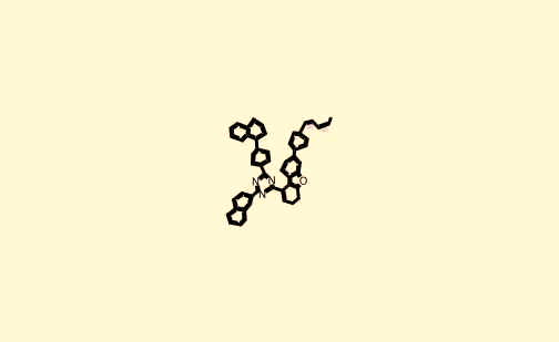 C/C=C\C=C/c1ccc(-c2ccc3c4c(oc3c2)CCC=C4c2nc(-c3ccc(-c4cccc5ccccc45)cc3)nc(-c3ccc4ccccc4c3)n2)cc1